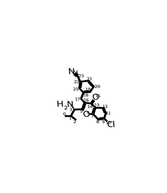 CC(C)[C@@H](N)c1oc2cc(Cl)ccc2c(=O)c1Cc1cccc(C#N)c1